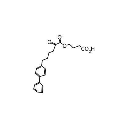 O=C(O)CCCOC(=O)C(=O)CCCCc1ccc(-c2ccccc2)cc1